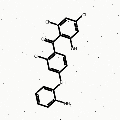 Nc1ccccc1Nc1ccc(C(=O)c2c(O)cc(Cl)cc2Cl)c(Cl)c1